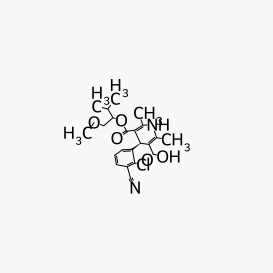 COCC(OC(=O)C1=C(C)NC(C)=C(C(=O)O)[C@H]1c1cccc(C#N)c1Cl)C(C)C